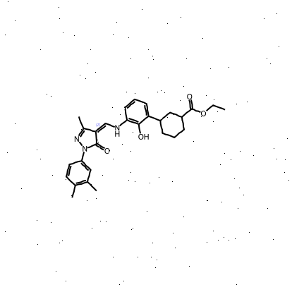 CCOC(=O)C1CCCC(c2cccc(N/C=C3\C(=O)N(c4ccc(C)c(C)c4)N=C3C)c2O)C1